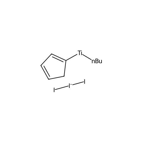 CCC[CH2][Ti][C]1=CC=CC1.I[I-]I